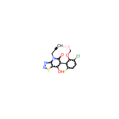 BCOc1c(Cl)ccc(F)c1-c1c(O)c2snnc2n(CC#C)c1=O